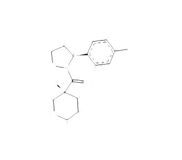 C[C@@]1(C(=O)N2OCC[C@H]2c2ccc(F)cc2)CCCOC1